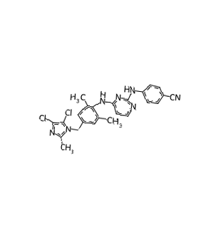 Cc1cc(Cn2c(C)nc(Cl)c2Cl)cc(C)c1Nc1ccnc(Nc2ccc(C#N)cc2)n1